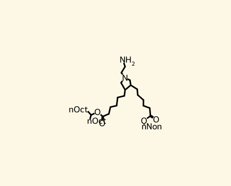 CCCCCCCCCOC(=O)CCCCCC1CN(CCN)CC1CCCCCC(=O)OC(CCCCCCCC)CCCCCCCC